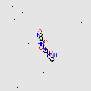 CN1C(=O)Cc2cc(C(=O)NCC(=O)N3CCC(N4CCc5ccccc5NC4=O)CC3)ccc21